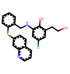 OCCc1cc(Cl)cc(NCc2ccccc2Sc2ccc3cccnc3c2)c1O